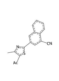 CC(=O)c1sc(-c2cc(C#N)c3ccccc3c2)nc1C